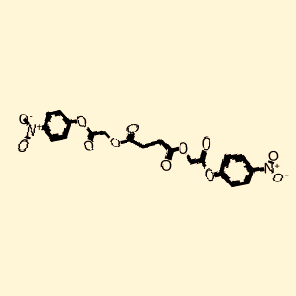 O=C(CCC(=O)OCC(=O)Oc1ccc([N+](=O)[O-])cc1)OCC(=O)Oc1ccc([N+](=O)[O-])cc1